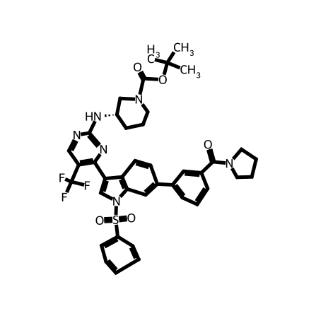 CC(C)(C)OC(=O)N1CCC[C@H](Nc2ncc(C(F)(F)F)c(-c3cn(S(=O)(=O)c4ccccc4)c4cc(-c5cccc(C(=O)N6CCCC6)c5)ccc34)n2)C1